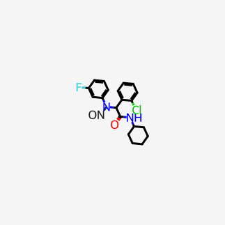 O=NN(c1cccc(F)c1)C(C(=O)NC1CCCCC1)c1ccccc1Cl